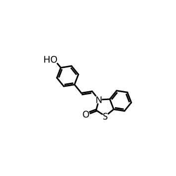 O=c1sc2ccccc2n1/C=C/c1ccc(O)cc1